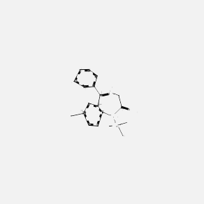 C[Si](C)(C)N1C(=O)CN=C(c2ccccc2)c2cc(Cl)ccc21